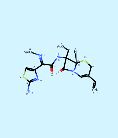 C=CC1=CN2C(=O)C(COC(C)=O)(NC(=O)C(=NOC)c3csc(N)n3)[C@@H]2SC1